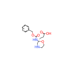 O=C(O)CC[C@@]1(NC(=O)OCc2ccccc2)CNCCO1